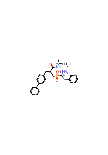 C[C@H](NC(=O)[C@H](Cc1ccc(-c2ccccc2)cc1)CP(=O)(O)[C@@H](N)Cc1ccccc1)C(=O)O